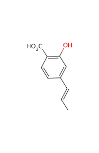 CC=Cc1ccc(C(=O)O)c(O)c1